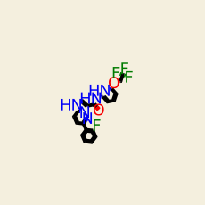 O=C(NC1=CC=CC(OCC(F)(F)F)N1)C1=CNC2C=CC(c3ccccc3F)=NN12